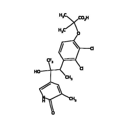 Cc1cc(C(O)(C(C)c2ccc(OC(C)(C)C(=O)O)c(Cl)c2Cl)C(F)(F)F)c[nH]c1=O